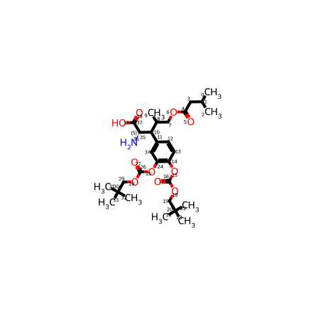 CC(C)CC(=O)OCC(C)C(c1ccc(OC(=O)OCC(C)(C)C)c(OC(=O)OCC(C)(C)C)c1)[C@H](N)C(=O)O